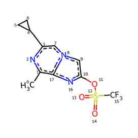 Cc1nc(C2CC2)cn2cc(OS(=O)(=O)C(F)(F)F)nc12